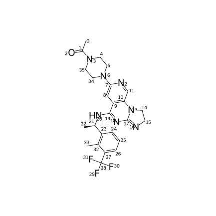 CC(=O)N1CCN(c2cc3c(cn2)N2CCN=C2N=C3N[C@H](C)c2cccc(C(F)(F)F)c2C)CC1